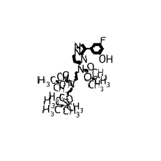 CC(C)(C)OC(=O)N(CCO[Si](C)(C)C(C)(C)C)CCN(C(=O)OC(C)(C)C)c1ccn2ncc(-c3cc(O)cc(F)c3)c2n1